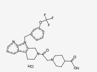 Cl.O=C(O)C1CCN(CC(=O)N2CCc3c(n(Cc4cccc(OC(F)(F)F)c4)c4ncccc34)C2)CC1